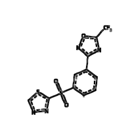 O=S(=O)(c1[c]ccc(-c2noc(C(F)(F)F)n2)c1)c1nncs1